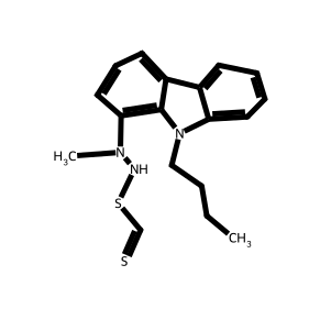 CCCCn1c2ccccc2c2cccc(N(C)NSC=S)c21